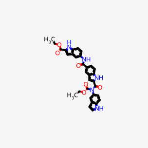 CCOC(=O)c1cc2cc(NC(=O)c3ccc4[nH]c(C(=O)N(C(=O)OCC)c5ccc6[nH]ccc6c5)cc4c3)ccc2[nH]1